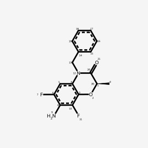 C[C@H]1Oc2c(cc(F)c(N)c2F)N(Cc2ccccc2)C1=O